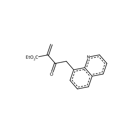 C=C(C(=O)Cc1cccc2cccnc12)C(=O)OCC